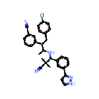 CC(NC(c1cccc(-c2cc[nH]n2)c1)C(C)(C)C#N)C(Cc1ccc(Cl)cc1)c1cccc(C#N)c1